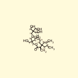 C=C(C(=O)OCC(CO)(CO)COCC(CO)(CO)CO)C(CCC)(CCC)CCC